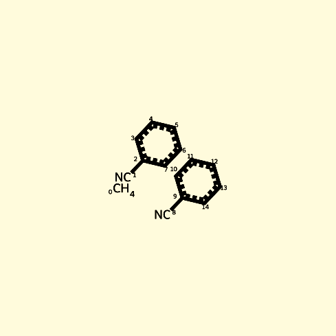 C.N#Cc1ccccc1.N#Cc1ccccc1